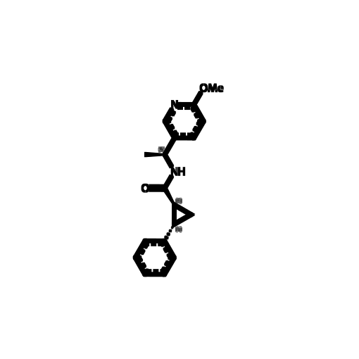 COc1ccc([C@H](C)NC(=O)[C@H]2C[C@@H]2c2ccccc2)cn1